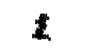 C=CC(=O)Nc1cccc(-c2ccc3[nH]nc(C)c3c2)c1